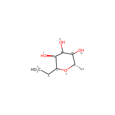 C[C@@H]1OC(CC(=O)O)[C@@H](O)C(O)C1O